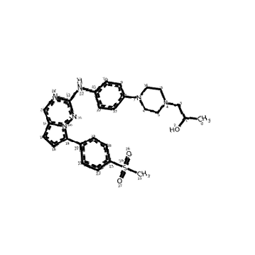 CC(O)CN1CCN(c2ccc(Nc3ncc4ccc(-c5ccc(S(C)(=O)=O)cc5)n4n3)cc2)CC1